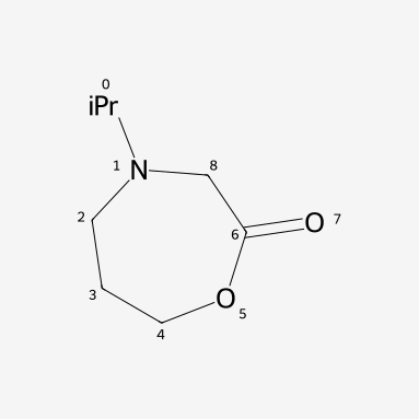 CC(C)N1CCCOC(=O)C1